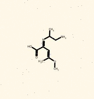 CO/C(C)=C/C(=N\C(C)CN)C(=O)O